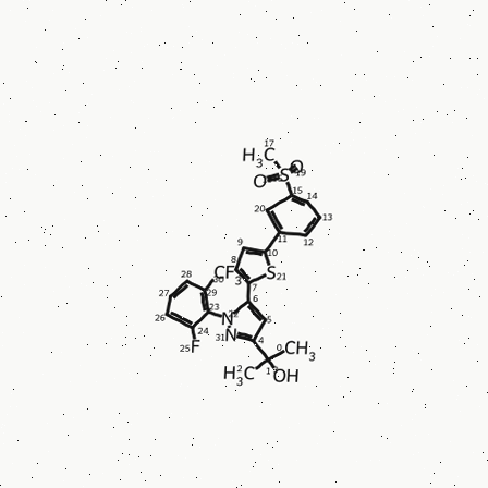 CC(C)(O)c1cc(-c2ccc(-c3cccc(S(C)(=O)=O)c3)s2)n(-c2c(F)cccc2C(F)(F)F)n1